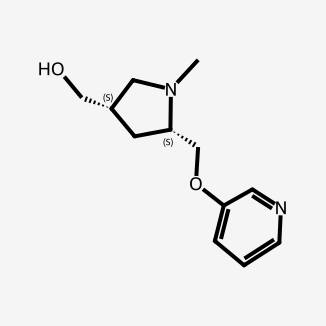 CN1C[C@@H](CO)C[C@H]1COc1cccnc1